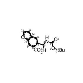 CC(C)(C)OC(=O)NC(C(=O)O)c1ccc2occc2c1